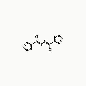 ClC(=NN=C(Cl)c1ccsc1)c1ccsc1